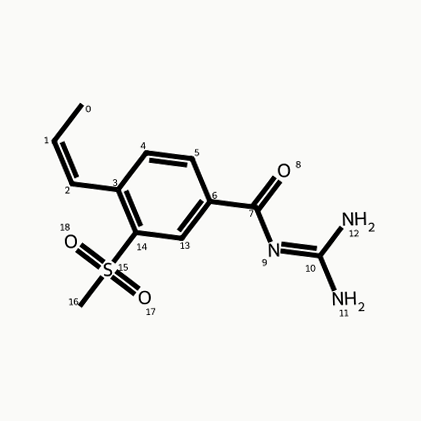 C/C=C\c1ccc(C(=O)N=C(N)N)cc1S(C)(=O)=O